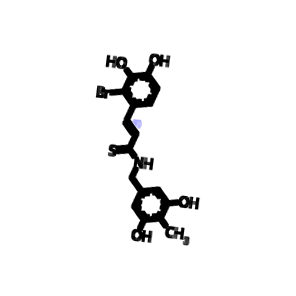 Cc1c(O)cc(CNC(=S)/C=C/c2ccc(O)c(O)c2Br)cc1O